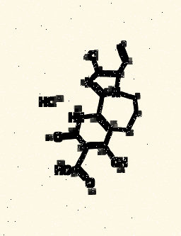 C=Cc1c(Cl)nc2n1CCCc1c-2[nH]c(=O)c(C(=O)O)c1O.Cl